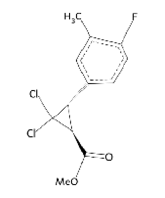 COC(=O)[C@@H]1[C@@H](c2ccc(F)c(C)c2)C1(Cl)Cl